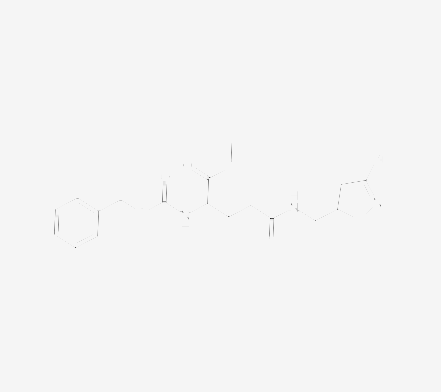 COC(=O)C(CCC(=O)NCC1CC(Br)=NO1)NC(=O)OCc1ccccc1